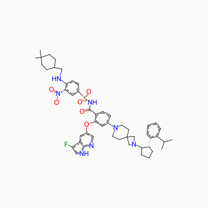 CC(C)c1ccccc1[C@@H]1CCCC1N1CC2(CCN(c3ccc(C(=O)NS(=O)(=O)c4ccc(NCC5CCC(C)(C)CC5)c([N+](=O)[O-])c4)c(Oc4cnc5[nH]cc(F)c5c4)c3)CC2)C1